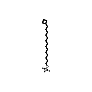 CS(=O)(=O)OCCCCCCCCCCCCCCC1CCC1